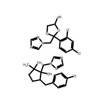 CC1(C)CCC(Cc2ccc(Cl)cc2)C1(O)Cn1cncn1.CCCC1COC(Cn2cncn2)(c2ccc(Cl)cc2Cl)O1